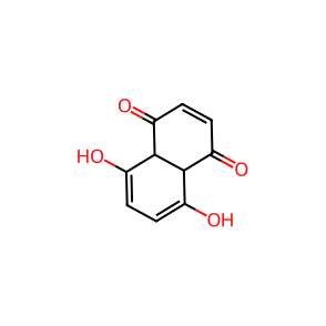 O=C1C=CC(=O)C2C(O)=CC=C(O)C12